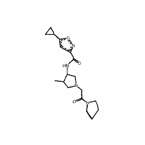 CC1CN(CC(=O)N2CCCC2)CC1NC(=O)c1cc(C2CC2)on1